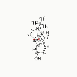 [2H]C([2H])([2H])N1CC[C@@]23CCCC[C@@H]2[C@@H]1Cc1ccc(O)cc13